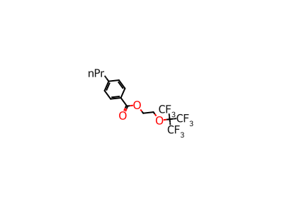 CCCc1ccc(C(=O)OCCOC(C(F)(F)F)(C(F)(F)F)C(F)(F)F)cc1